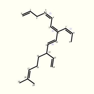 C=CC\N=C/C=C(\C=C/C)/C=C/C(C=C)CCC=C(C)C